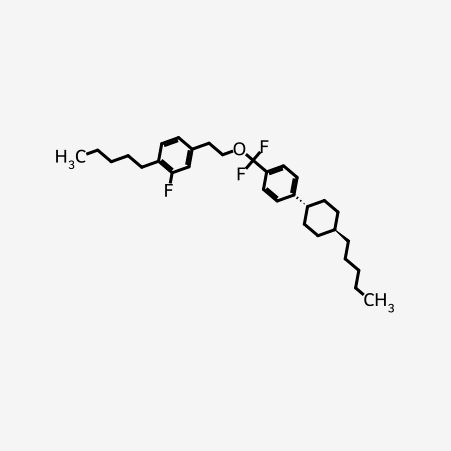 CCCCCc1ccc(CCOC(F)(F)c2ccc([C@H]3CC[C@H](CCCCC)CC3)cc2)cc1F